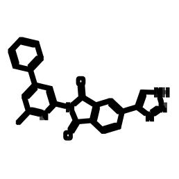 Cc1cc(-c2ccccc2)cc(N2C(=O)c3ccc(-c4c[nH]nn4)cc3C2=O)n1